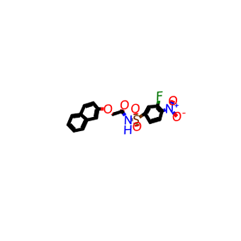 O=C(COc1ccc2ccccc2c1)NS(=O)(=O)c1ccc([N+](=O)[O-])c(F)c1